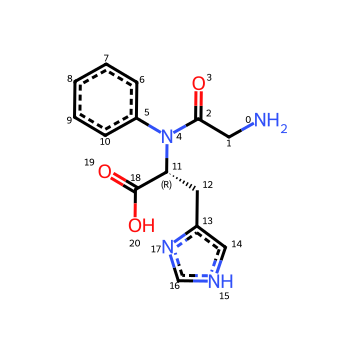 NCC(=O)N(c1ccccc1)[C@H](Cc1c[nH]cn1)C(=O)O